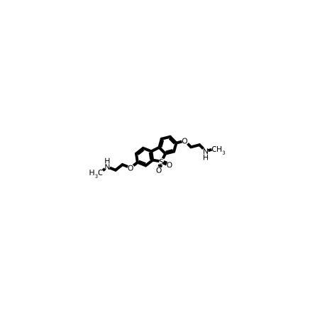 CNCCOc1ccc2c(c1)S(=O)(=O)c1cc(OCCNC)ccc1-2